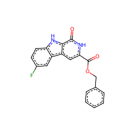 O=C(OCc1ccccc1)c1cc2c([nH]c3ccc(F)cc32)c(=O)[nH]1